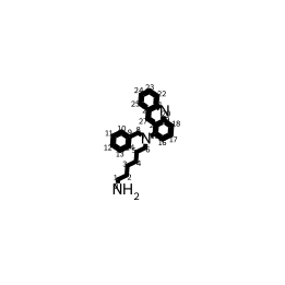 NCCCCCCN(Cc1ccccc1)c1cccc2nc3ccccc3cc12